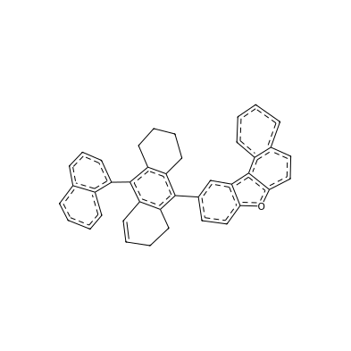 C1=Cc2c(c(-c3ccc4oc5ccc6ccccc6c5c4c3)c3c(c2-c2cccc4ccccc24)CCCC3)CC1